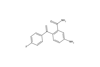 C=C(c1ccc(F)cc1)c1ccc(N)cc1C(N)=O